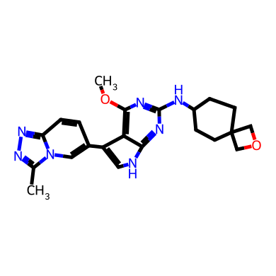 COc1nc(NC2CCC3(CC2)COC3)nc2[nH]cc(-c3ccc4nnc(C)n4c3)c12